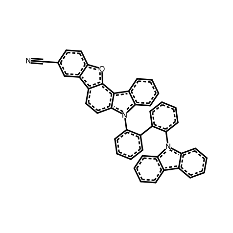 N#Cc1ccc2oc3c(ccc4c3c3ccccc3n4-c3ccccc3-c3ccccc3-n3c4ccccc4c4ccccc43)c2c1